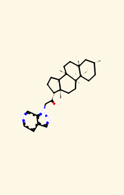 C[C@H]1CC[C@@]2(F)[C@H](CC[C@H]3[C@@H]4CC[C@H](C(=O)Cn5ncc6ccncc65)[C@@]4(C)CC[C@@H]32)C1